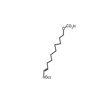 CCCCCCCC/C=C/CCCCCCCCOC(=O)O